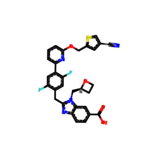 N#Cc1csc(COc2cccc(-c3cc(F)c(Cc4nc5ccc(C(=O)O)cc5n4C[C@@H]4CCO4)cc3F)n2)c1